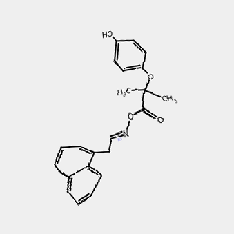 CC(C)(Oc1ccc(O)cc1)C(=O)O/N=C/Cc1cccc2ccccc12